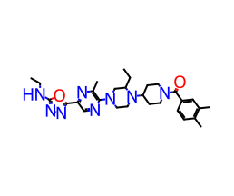 CCNc1nnc(-c2cnc(N3CCN(C4CCN(C(=O)c5ccc(C)c(C)c5)CC4)C(CC)C3)c(C)n2)o1